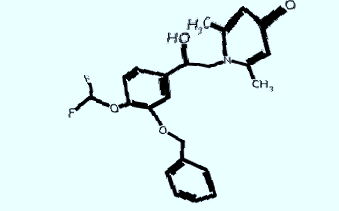 Cc1cc(=O)cc(C)n1CC(O)c1ccc(OC(F)F)c(OCc2ccccc2)c1